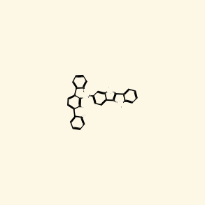 c1ccc2c(c1)sc1c2ccc2c3ccccc3n(-c3ccc4c(c3)sc3c5ccccc5sc43)c21